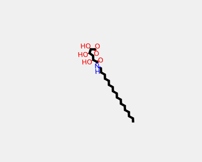 CCCCCCCCCCCCCCCCCCNC(=O)[C@H](O)[C@H]1OC(=O)[C@@H](O)[C@H]1O